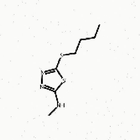 CCCCSc1nnc(NC)s1